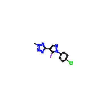 Cn1nnc(-c2cnn(-c3ccc(Cl)cc3)c2I)n1